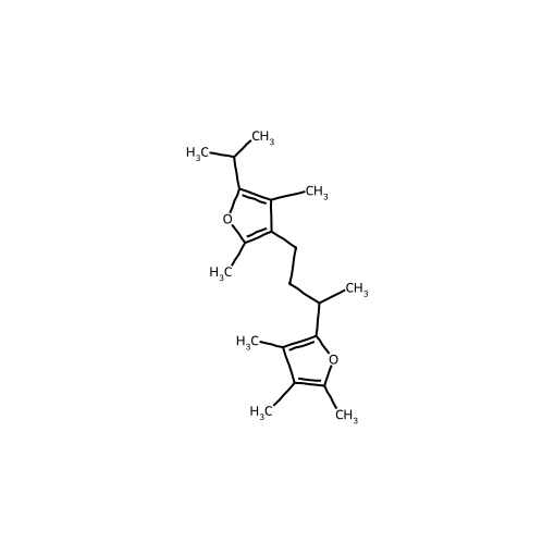 Cc1oc(C(C)CCc2c(C)oc(C(C)C)c2C)c(C)c1C